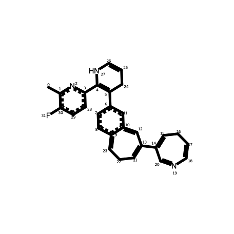 Cc1nc(C2=C(c3ccc4c(c3)=CC(C3=CCC=CN=C3)=CCC=4)CC=CN2)ccc1F